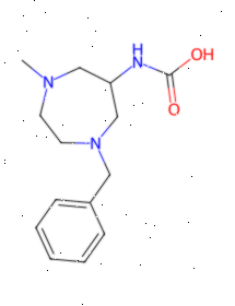 CN1CCN(Cc2ccccc2)CC(NC(=O)O)C1